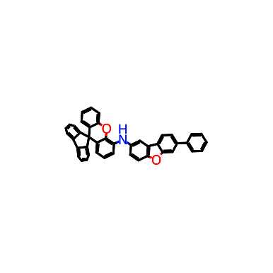 c1ccc(-c2ccc3c(c2)oc2ccc(Nc4cccc5c4Oc4ccccc4C54c5ccccc5-c5ccccc54)cc23)cc1